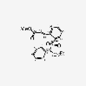 CCON(c1ccccc1)S(=O)(=O)c1ccccc1C=CC(=O)OC